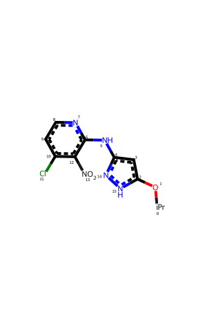 CC(C)Oc1cc(Nc2nccc(Cl)c2[N+](=O)[O-])n[nH]1